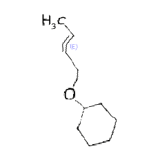 C/C=C/COC1CCCCC1